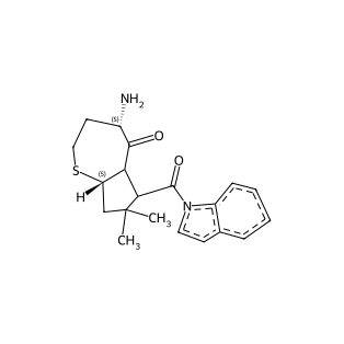 CC1(C)C[C@@H]2SCC[C@H](N)C(=O)C2C1C(=O)n1ccc2ccccc21